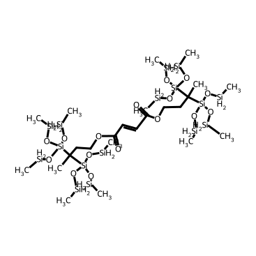 C[SiH2]O[Si](O[SiH2]C)(O[SiH2]C)C(C)(CCOC(=O)/C=C/C(=O)OCCC(C)([Si](O[SiH2]C)(O[SiH2]C)O[SiH2]C)[Si](O[SiH2]C)(O[SiH2]C)O[SiH2]C)[Si](O[SiH2]C)(O[SiH2]C)O[SiH2]C